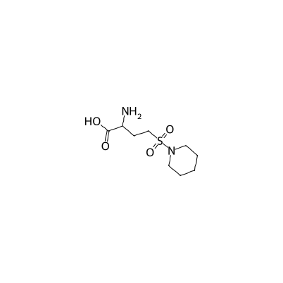 NC(CCS(=O)(=O)N1CCCCC1)C(=O)O